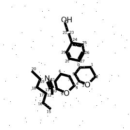 C1CCOCC1.C1CCOCC1.CC#N.CCCCCC.CO.Cc1ccccc1